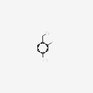 CC(C)c1ccc(CN)c(F)c1